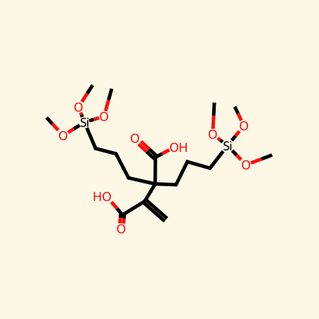 C=C(C(=O)O)C(CCC[Si](OC)(OC)OC)(CCC[Si](OC)(OC)OC)C(=O)O